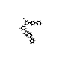 Clc1nc(-c2ccc(-c3ccccc3)cc2)nc(-c2cccc(-c3ccc4cc(-c5ccccc5)ccc4c3)c2)n1